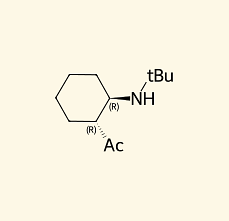 CC(=O)[C@@H]1CCCC[C@H]1NC(C)(C)C